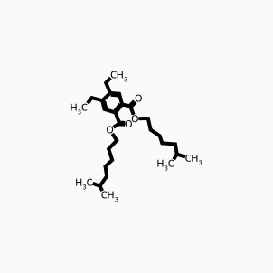 CCc1cc(C(=O)OCCCCCC(C)C)c(C(=O)OCCCCCC(C)C)cc1CC